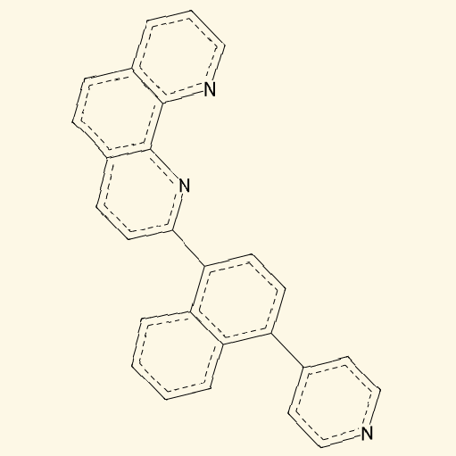 c1cnc2c(c1)ccc1ccc(-c3ccc(-c4ccncc4)c4ccccc34)nc12